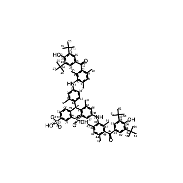 Cc1cc(Nc2c(C)cc(C)c(C(=O)c3cc(C(C)(C)C)c(O)c(C(C)(C)C)c3)c2C)ccc1C(c1ccc(Nc2c(C)cc(C)c(C(=O)c3cc(C(C)(C)C)c(O)c(C(C)(C)C)c3)c2C)cc1C)c1ccc(S(=O)(=O)O)cc1S(=O)(=O)O